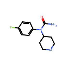 NC(=O)N(c1ccc(F)cc1)C1CCNCC1